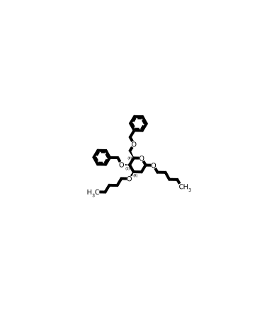 CCCCCOC1C[C@@H](OCCCCC)[C@H](OCc2ccccc2)[C@@H](COCc2ccccc2)O1